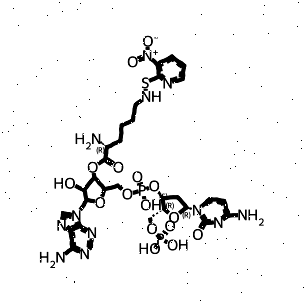 Nc1ccn([C@H]2C[C@H](OP(=O)(O)OCC3OC(n4cnc5c(N)ncnc54)C(O)C3OC(=O)[C@H](N)CCCCNSc3ncccc3[N+](=O)[O-])[C@@H](COP(=O)(O)O)O2)c(=O)n1